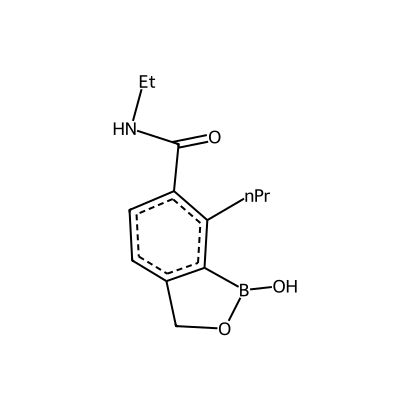 CCCc1c(C(=O)NCC)ccc2c1B(O)OC2